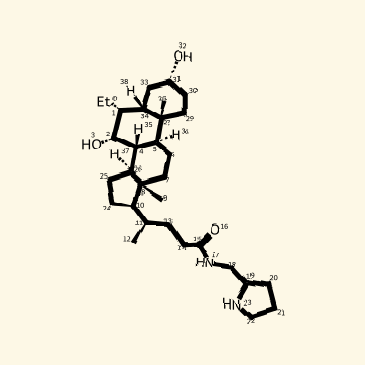 CC[C@H]1[C@@H](O)[C@@H]2[C@H](CC[C@]3(C)[C@@H]([C@H](C)CCC(=O)NCC4CCCN4)CC[C@@H]23)[C@@]2(C)CC[C@@H](O)C[C@@H]12